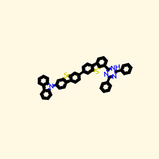 c1ccc(C2=NC(c3ccccc3)NC(c3cccc4c3sc3cc(-c5ccc6c(c5)sc5cc(-n7c8ccccc8c8ccccc87)ccc56)ccc34)=N2)cc1